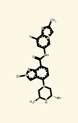 CCn1cc2c(N3C[C@H](C)N[C@@H](C(C)C)C3)ccc(C(=O)Nc3cc(F)c4nc(C)cn4c3)c2n1